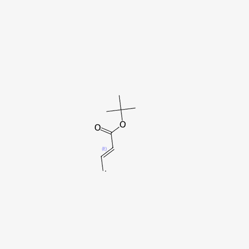 [CH2]/C=C/C(=O)OC(C)(C)C